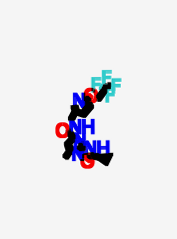 Cc1cc(C(=O)NCc2ccc(OCC(F)(F)C(F)F)nc2)nc(NC(=O)C2CC2)n1